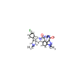 CC(C)[C@@H](C(=O)N1CCC2(CC1)CN(C)CC2c1ccc(F)cc1)c1cccc2c1c(C(N)=O)nn2C